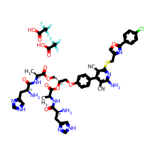 CC(NC(=O)[C@@H](N)Cc1c[nH]cn1)C(=O)O[C@H](COC(=O)[C@H](C)NC(=O)[C@@H](N)Cc1c[nH]cn1)COc1ccc(-c2c(C#N)c(N)nc(SCc3coc(-c4ccc(Cl)cc4)n3)c2C#N)cc1.O=C(O)C(F)(F)F.O=C(O)C(F)(F)F